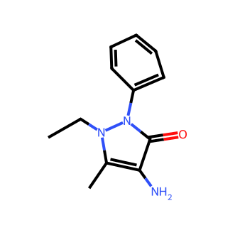 CCn1c(C)c(N)c(=O)n1-c1ccccc1